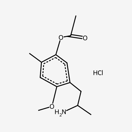 COc1cc(C)c(OC(C)=O)cc1CC(C)N.Cl